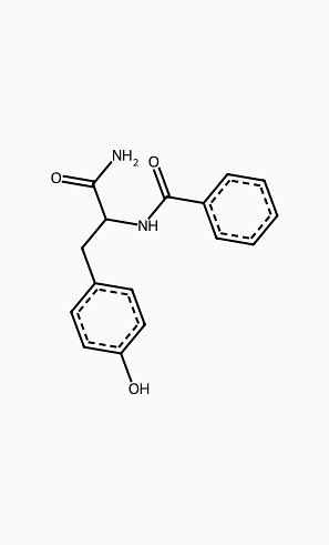 NC(=O)C(Cc1ccc(O)cc1)NC(=O)c1ccccc1